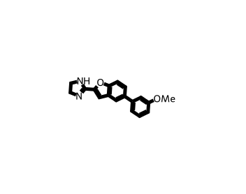 COc1cccc(-c2ccc3oc(C4=NCCN4)cc3c2)c1